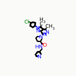 Cc1nnc(N2CCCC(C(=O)NCc3cccnc3)C2)c2nn(-c3ccc(Cl)cc3)c(C)c12